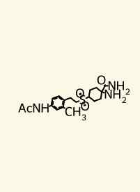 CC(=O)Nc1ccc(CCS(=O)(=O)C2CCC(N)(C(N)=O)CC2)c(C)c1